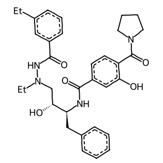 CCc1cccc(C(=O)NN(CC)C[C@@H](O)[C@H](Cc2ccccc2)NC(=O)c2ccc(C(=O)N3CCCC3)c(O)c2)c1